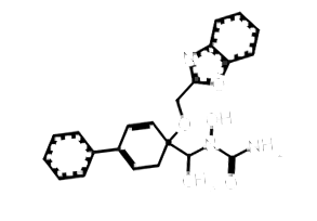 CC(N(O)C(N)=O)C1(OCc2nc3ccccc3o2)C=CC(c2ccccc2)=CC1